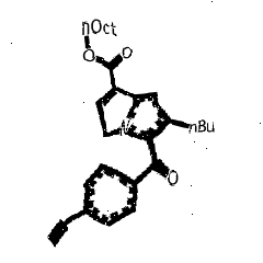 C#Cc1ccc(C(=O)c2c(CCCC)cc3n2CC=C3C(=O)OCCCCCCCC)cc1